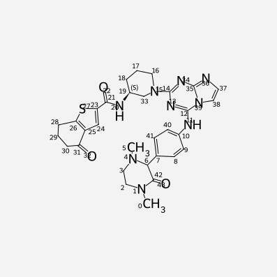 CN1CCN(C)C(c2ccc(Nc3nc(N4CCC[C@H](NC(=O)c5cc6c(s5)CCCC6=O)C4)nc4nccn34)cc2)C1=O